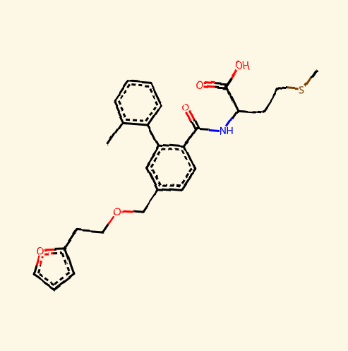 CSCCC(NC(=O)c1ccc(COCCc2ccco2)cc1-c1ccccc1C)C(=O)O